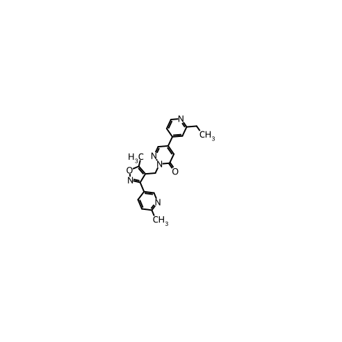 CCc1cc(-c2cnn(Cc3c(-c4ccc(C)nc4)noc3C)c(=O)c2)ccn1